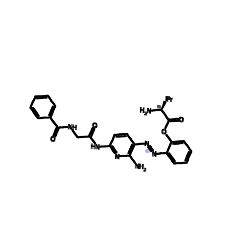 CC(C)[C@H](N)C(=O)Oc1ccccc1/N=N/c1ccc(NC(=O)CNC(=O)c2ccccc2)nc1N